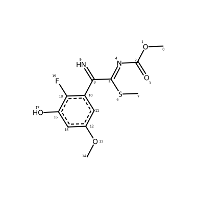 COC(=O)/N=C(\SC)C(=N)c1cc(OC)cc(O)c1F